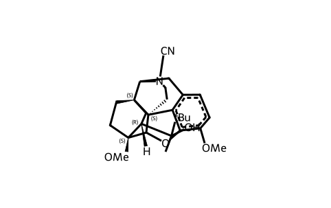 COc1ccc2c3c1OC1[C@]34CCN(C#N)C(C2)[C@]42CC[C@]1(OC)[C@@H](C(C)(O)C(C)(C)C)C2